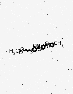 C=CC(=O)OCCCCSC1=CC(C)C(C(=O)Oc2ccc(C(=O)Oc3ccc(C)cc3)cc2)C=C1